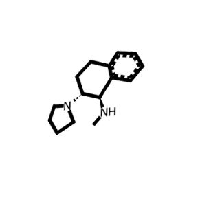 CN[C@@H]1c2ccccc2CC[C@H]1N1CCCC1